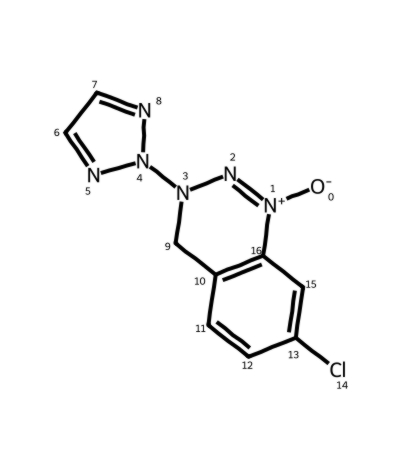 [O-][N+]1=NN(n2nccn2)Cc2ccc(Cl)cc21